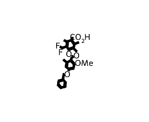 COc1cc(OCc2ccccc2)cc(C)c1C(=O)Oc1c(C)c(C)c(C(=O)O)c(C)c1C(F)F